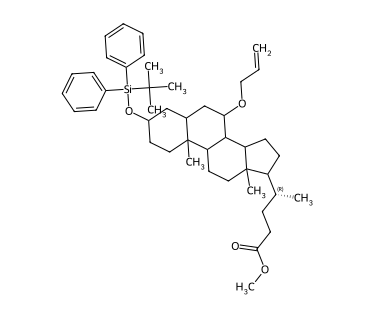 C=CCOC1CC2CC(O[Si](c3ccccc3)(c3ccccc3)C(C)(C)C)CCC2(C)C2CCC3(C)C(CCC3[C@H](C)CCC(=O)OC)C12